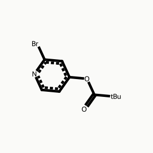 CC(C)(C)C(=O)Oc1ccnc(Br)c1